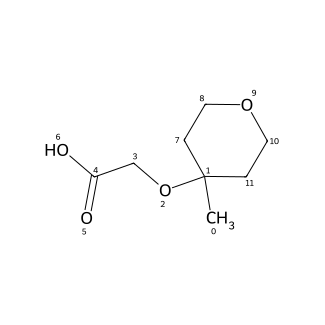 CC1(OCC(=O)O)CCOCC1